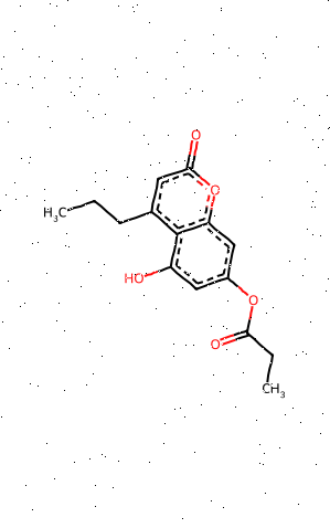 CCCc1cc(=O)oc2cc(OC(=O)CC)cc(O)c12